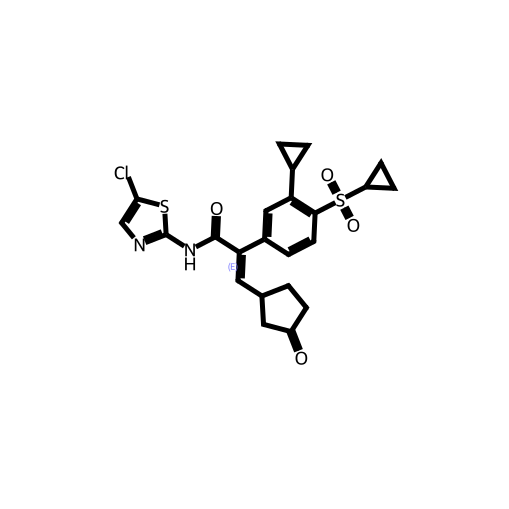 O=C1CCC(/C=C(/C(=O)Nc2ncc(Cl)s2)c2ccc(S(=O)(=O)C3CC3)c(C3CC3)c2)C1